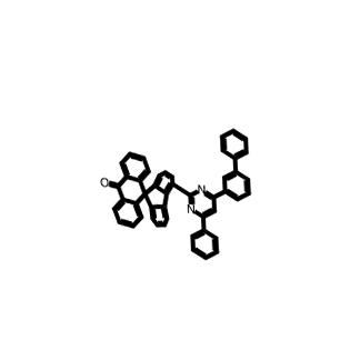 O=C1c2ccccc2C2(c3ccccc31)c1ccccc1-c1c(-c3nc(-c4ccccc4)cc(-c4cccc(-c5ccccc5)c4)n3)cccc12